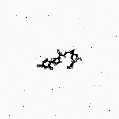 C#CNCC1(CC)CC1CCC(=O)C1CSC(c2ccc(Cl)cc2Cl)N1